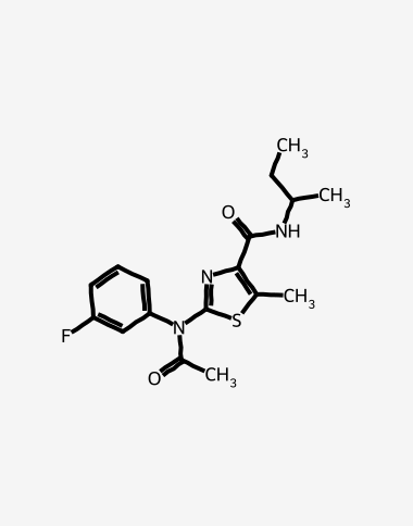 CCC(C)NC(=O)c1nc(N(C(C)=O)c2cccc(F)c2)sc1C